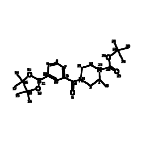 CC1CN(C(=O)c2cccc(B3OC(C)(C)C(C)(C)O3)c2)CCN1C(=O)OC(C)(C)C